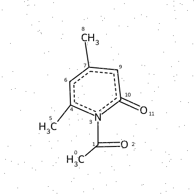 CC(=O)n1c(C)cc(C)cc1=O